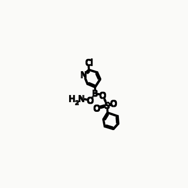 NOB(OS(=O)(=O)c1ccccc1)c1ccc(Cl)nc1